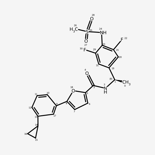 C[C@@H](NC(=O)c1ccc(-c2cccc(C3CC3)c2)o1)c1cc(F)c(NS(C)(=O)=O)c(F)c1